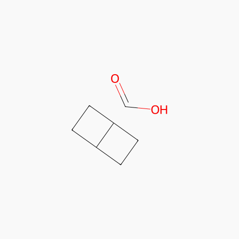 C1CC2CCC12.O=CO